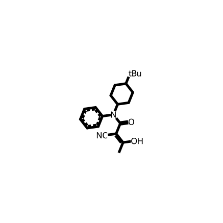 CC(O)=C(C#N)C(=O)N(c1ccccc1)C1CCC(C(C)(C)C)CC1